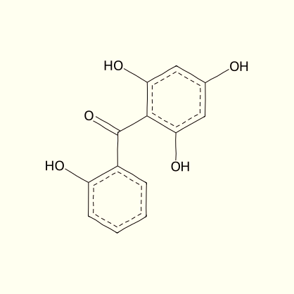 O=C(c1ccccc1O)c1c(O)cc(O)cc1O